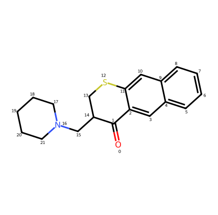 O=C1c2cc3ccccc3cc2SCC1CN1CCCCC1